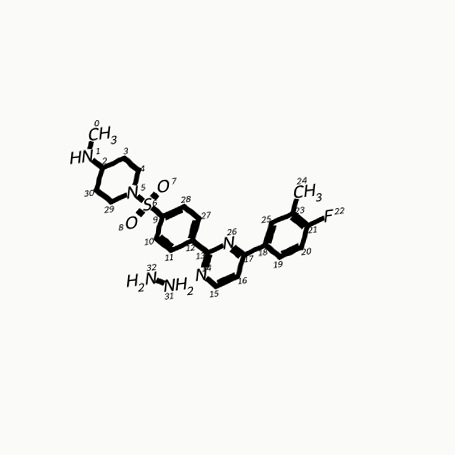 CNC1CCN(S(=O)(=O)c2ccc(-c3nccc(-c4ccc(F)c(C)c4)n3)cc2)CC1.NN